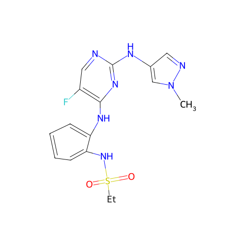 CCS(=O)(=O)Nc1ccccc1Nc1nc(Nc2cnn(C)c2)ncc1F